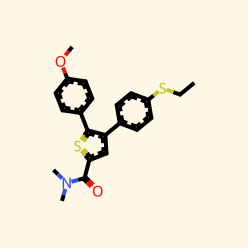 CCSc1ccc(-c2cc(C(=O)N(C)C)sc2-c2ccc(OC)cc2)cc1